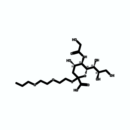 CCCOCCOCCSC1(C(=O)O)C[C@H](O)[C@@H](NC(=O)CO)[C@H]([C@H](O)[C@H](O)CO)O1